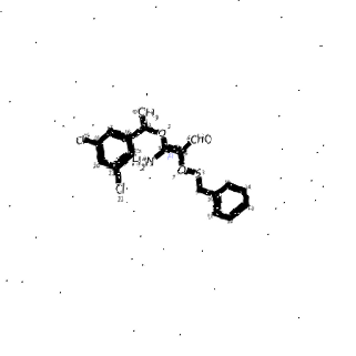 CC(O/C(N)=C(\C=O)OSCc1ccccc1)c1cc(Cl)cc(Cl)c1